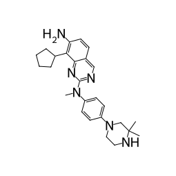 CN(c1ccc(N2CCNC(C)(C)C2)cc1)c1ncc2ccc(N)c(C3CCCC3)c2n1